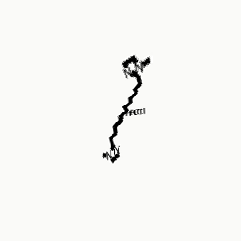 CN1CCN=C1CCCCCCCCCCCCC1=NCCN1C.Cl.Cl